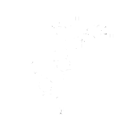 CCC[C@](CCc1ccc(Sc2cc(OCC)ccc2OCOC)cc1Cl)(CCP(=O)(O)O)NC(=O)OC(C)(C)C